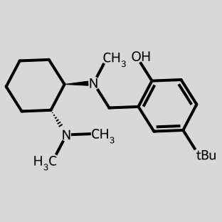 CN(C)[C@@H]1CCCC[C@H]1N(C)Cc1cc(C(C)(C)C)ccc1O